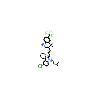 CC(C)CCN1/C(=C/C=C/C2=CN(C)c3ccc(C(F)(F)F)cc3C2(C)C)C2(CCCCC2)c2cc(Cl)ccc21